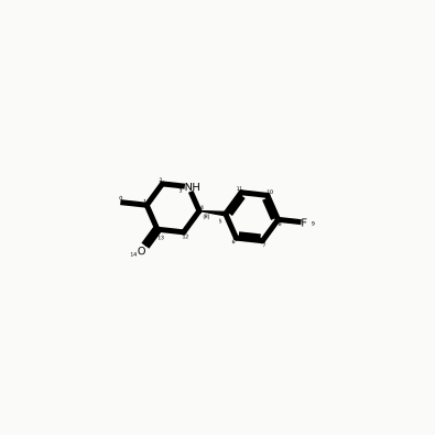 CC1CN[C@@H](c2ccc(F)cc2)CC1=O